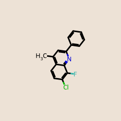 Cc1cc(-c2ccccc2)nc2c(F)c(Cl)ccc12